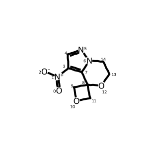 O=[N+]([O-])c1cnn2c1C1(COC1)OCC2